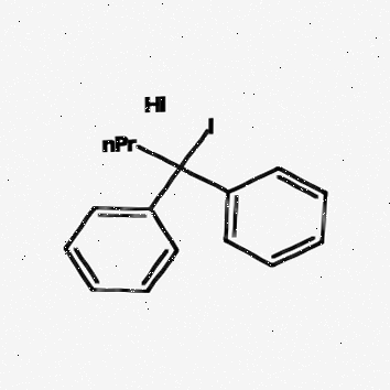 CCCC(I)(c1ccccc1)c1ccccc1.I